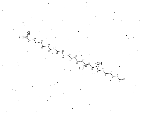 CCCCCCCCC(O)CCC(O)CCCCCCCCCCCCCCCCC(=O)O